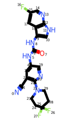 N#Cc1cc(NC(=O)Nc2c[nH]c3ncc(F)cc23)cnc1N1CCC(F)(F)CC1